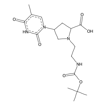 Cc1cn(C2CC(C(=O)O)N(CCNC(=O)OC(C)(C)C)C2)c(=O)[nH]c1=O